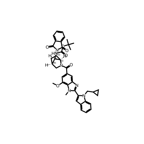 COc1cc(C(=O)N2C[C@H]3C[C@H](N4C(=O)c5ccccc5C4=O)[C@@H]2[C@@H]3NC(=O)OC(C)(C)C)cc2nc(-c3cc4ccccc4n3CC3CC3)n(C)c12